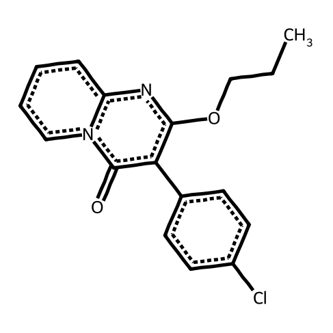 CCCOc1nc2ccccn2c(=O)c1-c1ccc(Cl)cc1